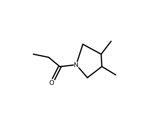 CCC(=O)N1CC(C)C(C)C1